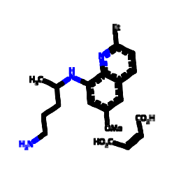 CCc1ccc2cc(OC)cc(NC(C)CCCN)c2n1.O=C(O)/C=C\C(=O)O